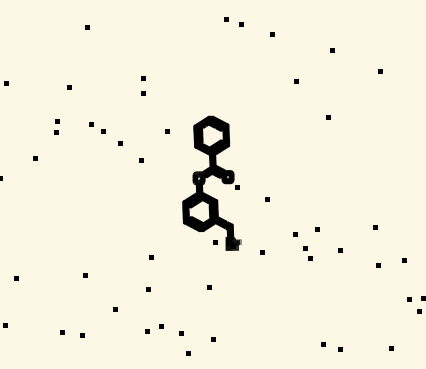 O=C(Oc1cccc(CBr)c1)c1ccccc1